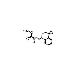 CC(C)(C)OC(=O)NCCC1CCC2(CC2)c2ccccc21